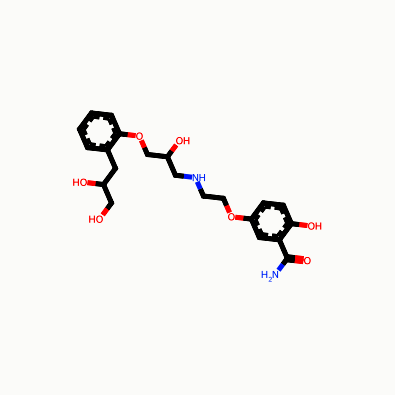 NC(=O)c1cc(OCCNCC(O)COc2ccccc2CC(O)CO)ccc1O